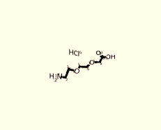 Cl.NCCOCCOCC(=O)O